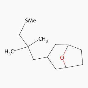 CSCC(C)(C)CC1CC2CCC(C1)O2